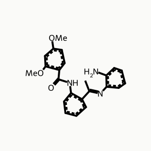 COc1ccc(C(=O)Nc2ccccc2/C(C)=N/c2ccccc2N)c(OC)c1